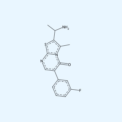 Cc1c(C(C)N)sc2ncc(-c3cccc(F)c3)c(=O)n12